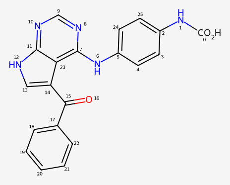 O=C(O)Nc1ccc(Nc2ncnc3[nH]cc(C(=O)c4ccccc4)c23)cc1